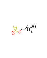 CCCO[SH]=O.[LiH]